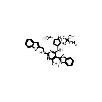 Cc1nc(NCc2cc3ccccc3s2)nc(N[C@@H]2C[C@H](CO)C[C@H]2OC(C)(C)O)c1-c1nc2ccccc2s1